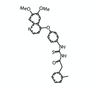 COc1cc2nccc(Oc3ccc(NC(=S)NC(=O)Cc4ccccc4C)cc3)c2cc1OC